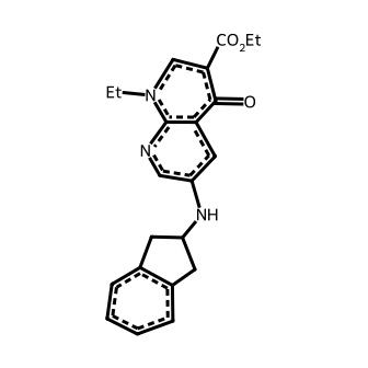 CCOC(=O)c1cn(CC)c2ncc(NC3Cc4ccccc4C3)cc2c1=O